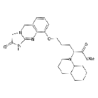 CNC(=O)C(CCCOc1cccc2c1N=C1NC(=O)CN1C2)N1CCCC2CCCCC21